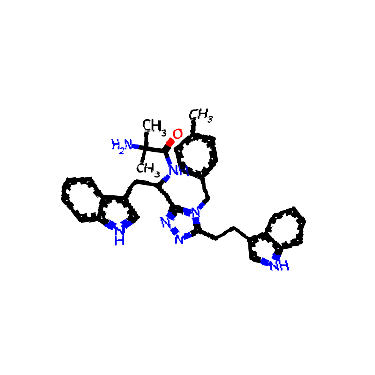 Cc1ccc(Cn2c(CCc3c[nH]c4ccccc34)nnc2C(Cc2c[nH]c3ccccc23)NC(=O)C(C)(C)N)cc1